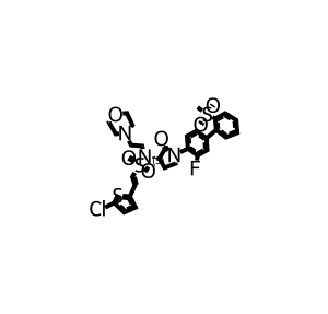 CS(=O)(=O)c1ccccc1-c1ccc(N2CC[C@H](N(CCN3CCOCC3)S(=O)(=O)C=Cc3ccc(Cl)s3)C2=O)c(F)c1